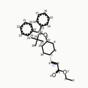 CCOC(=O)/C=C/[C@H]1CC[C@H](O[Si](c2ccccc2)(c2ccccc2)C(C)(C)C)CC1